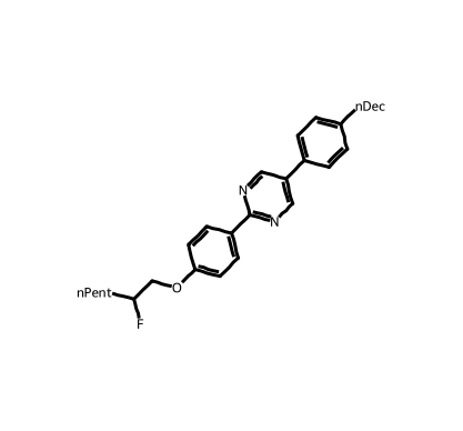 CCCCCCCCCCc1ccc(-c2cnc(-c3ccc(OCC(F)CCCCC)cc3)nc2)cc1